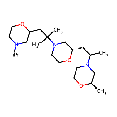 CC(C)N1CCOC(CC(C)(C)N2CCO[C@@H](CC(C)N3CCO[C@H](C)C3)C2)C1